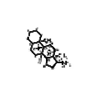 C[C@]12CCCCC1CC[C@@H]1[C@H]2CC[C@]2(C)C(N)CC[C@@]12O